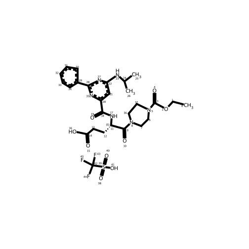 CCOC(=O)N1CCN(C(=O)[C@H](CCC(=O)O)NC(=O)c2cc(NC(C)C)nc(-c3ccccc3)n2)CC1.O=S(=O)(O)C(F)(F)F